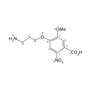 COc1cc(C(=O)O)c([N+](=O)[O-])cc1OCCCN